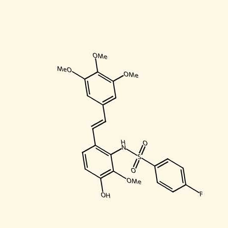 COc1cc(C=Cc2ccc(O)c(OC)c2NS(=O)(=O)c2ccc(F)cc2)cc(OC)c1OC